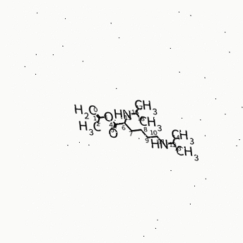 C=C(C)OC(=O)C(CCCCNC(C)C)NC(C)C